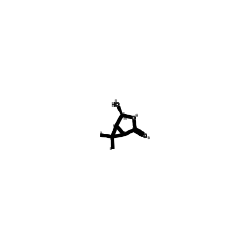 CC1(C)C2C(=O)O[C@H](O)C21